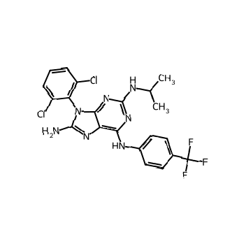 CC(C)Nc1nc(Nc2ccc(C(F)(F)F)cc2)c2nc(N)n(-c3c(Cl)cccc3Cl)c2n1